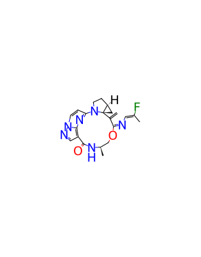 C=C1/C(=N\C=C(/C)F)OC[C@@H](C)NC(=O)c2cnn3ccc(nc23)N2CC[C@H]3C[C@]132